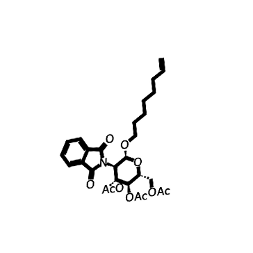 C=CCCCCCCO[C@@H]1O[C@H](COC(C)=O)[C@@H](OC(C)=O)[C@H](OC(C)=O)[C@H]1N1C(=O)c2ccccc2C1=O